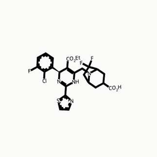 CCOC(=O)C1=C(CN2C3CC(C(=O)O)CC2C(F)(F)C3)NC(c2nccs2)=N[C@H]1c1cccc(F)c1Cl